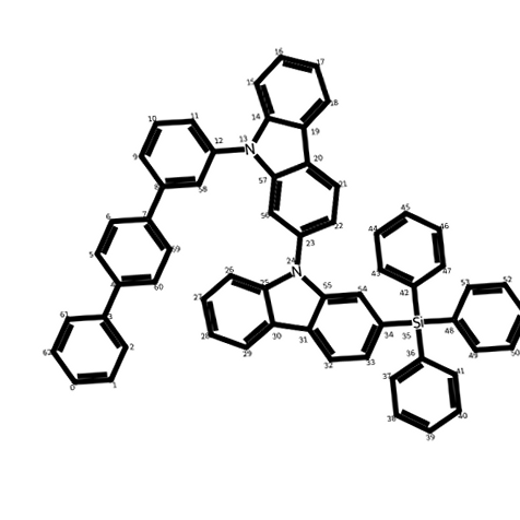 c1ccc(-c2ccc(-c3cccc(-n4c5ccccc5c5ccc(-n6c7ccccc7c7ccc([Si](c8ccccc8)(c8ccccc8)c8ccccc8)cc76)cc54)c3)cc2)cc1